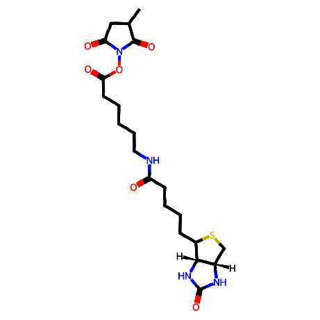 CC1CC(=O)N(OC(=O)CCCCCNC(=O)CCCCC2SC[C@@H]3NC(=O)N[C@H]23)C1=O